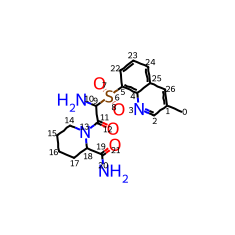 Cc1cnc2c(S(=O)(=O)C(N)C(=O)N3CCCCC3C(N)=O)cccc2c1